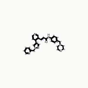 O=C(/C=C/c1cnccc1-c1cnn(Cc2ccccn2)c1)Nc1ccc(CN2CCOCC2)cc1